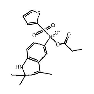 CCC(=O)O[N+]([O-])(c1ccc2c(c1)C(C)=CC(C)(C)N2)S(=O)(=O)c1cccs1